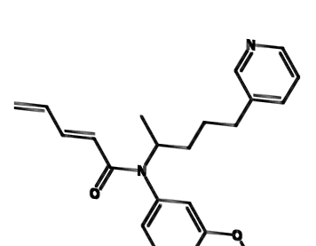 C=CC=CC(=O)N(c1cccc(OC)c1)C(C)CCCc1cccnc1